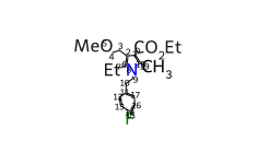 CCOC(=O)c1c(CCOC)c(CC)n(CCc2ccc(F)cc2)c1C